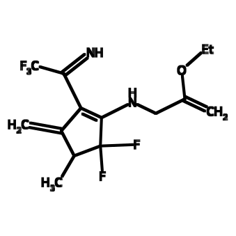 C=C(CNC1=C(C(=N)C(F)(F)F)C(=C)C(C)C1(F)F)OCC